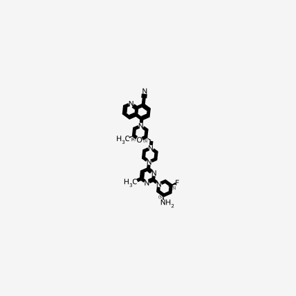 Cc1cc(N2CCN(C[C@H]3CN(c4ccc(C#N)c5ncccc45)C[C@@H](C)O3)CC2)nc(N2C[C@@H](N)C[C@H](F)C2)n1